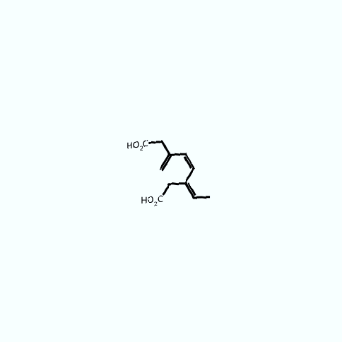 C=C(/C=C\C(=C/C)CC(=O)O)CC(=O)O